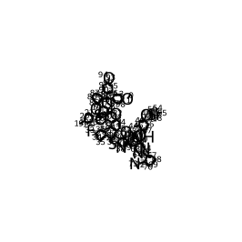 COc1ccc(C(OC[C@H](COS(=O)(=O)c2ccc(C)cc2)Oc2ccc(-c3c(-c4ccc(F)cc4)sc4ncnc(O[C@H](Cc5cc(O[Si](C)(C)C(C)(C)C)ccc5OCc5ccnc(-c6ccccc6C#N)n5)C(=O)O)c34)c(C)c2Cl)(c2ccccc2)c2ccc(OC)cc2)cc1